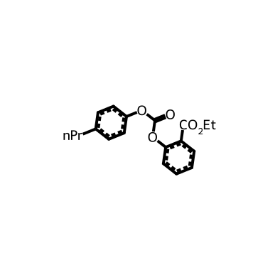 CCCc1ccc(OC(=O)Oc2ccccc2C(=O)OCC)cc1